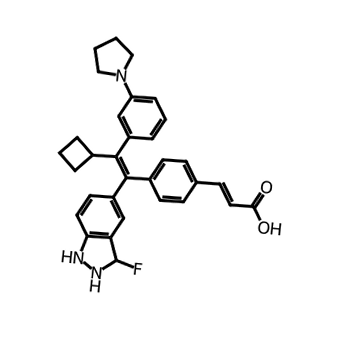 O=C(O)/C=C/c1ccc(/C(=C(\c2cccc(N3CCCC3)c2)C2CCC2)c2ccc3c(c2)C(F)NN3)cc1